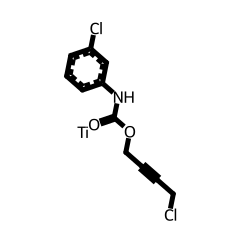 O=C(Nc1cccc(Cl)c1)OCC#CCCl.[Ti]